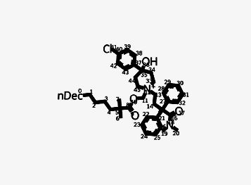 CCCCCCCCCCCCCCC(C)(C)C(=O)OC[N+]1(CCC(C(=O)N(C)C)(c2ccccc2)c2ccccc2)CCC(O)(c2ccc(Cl)cc2)CC1